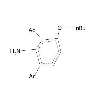 CCCCOc1ccc(C(C)=O)c(N)c1C(C)=O